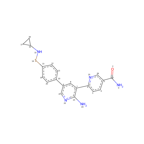 NC(=O)c1ccc(-c2cc(-c3ccc(SNC4CC4)cc3)cnc2N)nc1